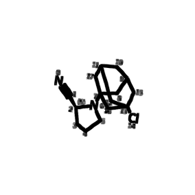 N#C[C@@H]1CCCN1C12CC3CC(CC(Cl)(C3)C1)C2